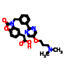 CN(C)CCCOc1cnc(-c2cccc(Cn3c(=O)oc4ccc(CC(=O)O)cc43)c2)nc1